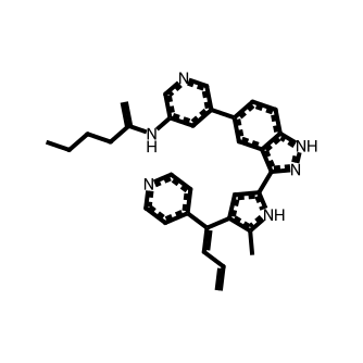 C=C/C=C(/c1ccncc1)c1cc(-c2n[nH]c3ccc(-c4cncc(NC(=C)CCCC)c4)cc23)[nH]c1C